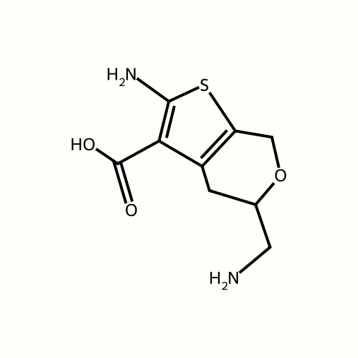 NCC1Cc2c(sc(N)c2C(=O)O)CO1